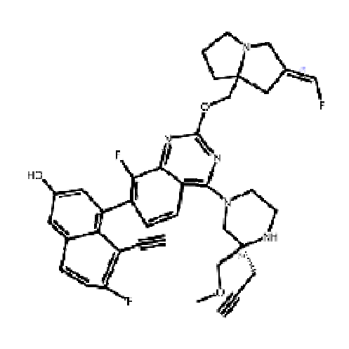 C#CC[C@]1(COC)CN(c2nc(OCC34CCCN3C/C(=C/F)C4)nc3c(F)c(-c4cc(O)cc5ccc(F)c(C#C)c45)ccc23)CCN1